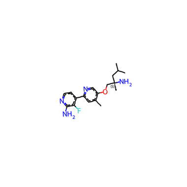 Cc1cc(-c2ccnc(N)c2F)ncc1OC[C@@](C)(N)CC(C)C